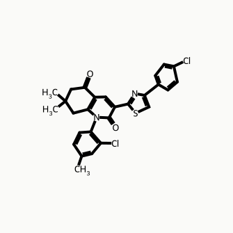 Cc1ccc(-n2c3c(cc(-c4nc(-c5ccc(Cl)cc5)cs4)c2=O)C(=O)CC(C)(C)C3)c(Cl)c1